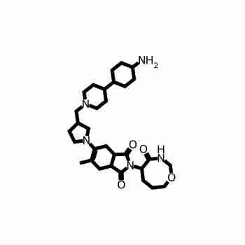 CC1=C(N2CCC(CN3CCC(C4CCC(N)CC4)CC3)C2)CC2C(=O)N(C3CCCOCNC3=O)C(=O)C2C1